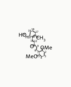 COc1cccc(OC)c1/C=C/C(=O)/C=C/c1c(C)cccc1CO